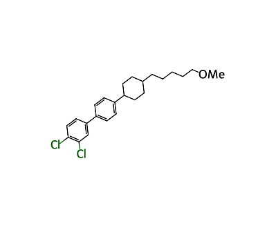 COCCCCCC1CCC(c2ccc(-c3ccc(Cl)c(Cl)c3)cc2)CC1